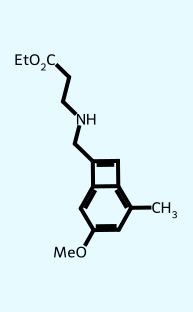 CCOC(=O)CCNCC1=Cc2c(C)cc(OC)cc21